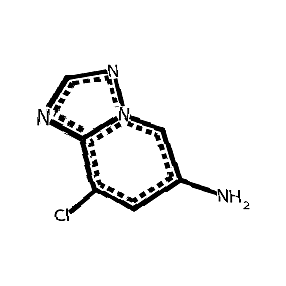 Nc1cc(Cl)c2ncnn2c1